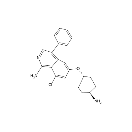 Nc1ncc(-c2ccccc2)c2cc(O[C@H]3CC[C@H](N)CC3)cc(Cl)c12